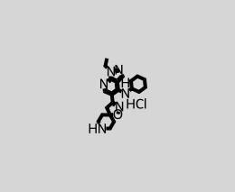 CCn1ncc2c(NC3CCCCC3)c(C3=NOC4(CCNCC4)C3)cnc21.Cl